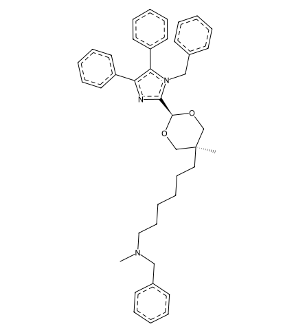 CN(CCCCCC[C@]1(C)CO[C@H](c2nc(-c3ccccc3)c(-c3ccccc3)n2Cc2ccccc2)OC1)Cc1ccccc1